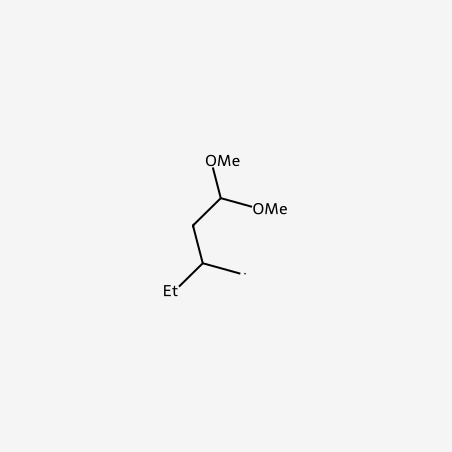 [CH2]C(CC)CC(OC)OC